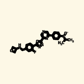 CC(C)[S+]([O-])c1ccc(-c2cncc(-c3nnc(-c4ccc(CNC5COC5)cc4F)o3)n2)cc1